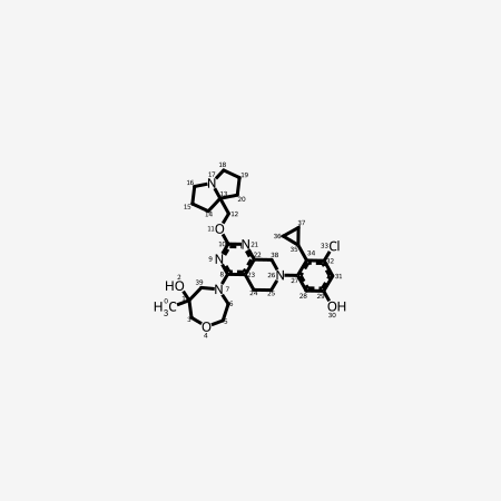 CC1(O)COCCN(c2nc(OCC34CCCN3CCC4)nc3c2CCN(c2cc(O)cc(Cl)c2C2CC2)C3)C1